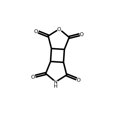 O=C1NC(=O)C2C1C1C(=O)OC(=O)C21